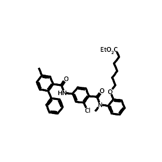 CCOC(=O)CCCCCOc1ccccc1N(C)C(=O)c1ccc(NC(=O)c2cc(C)ccc2-c2ccccc2)cc1Cl